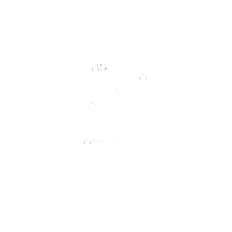 CC(=O)CS([NH])(=O)=O